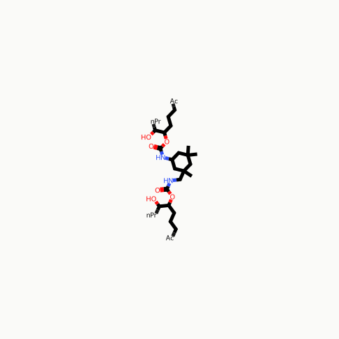 CCCC(O)C(CCCC(C)=O)OC(=O)NCC1(C)CC(NC(=O)OC(CCCC(C)=O)C(O)CCC)CC(C)(C)C1